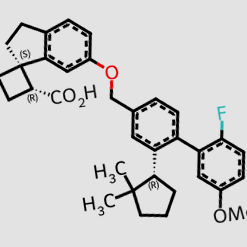 COc1ccc(F)c(-c2ccc(COc3ccc4c(c3)[C@]3(CC4)CC[C@H]3C(=O)O)cc2[C@@H]2CCCC2(C)C)c1